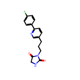 O=C1CNC(=O)N1CCCc1ccc(-c2ccc(F)cc2)nc1